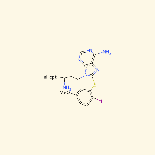 CCCCCCCC(N)CCn1c(Sc2cc(OC)ccc2I)nc2c(N)ncnc21